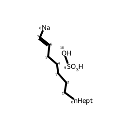 CCCCCCCCCCCCC=[CH][Na].O=S(=O)(O)O